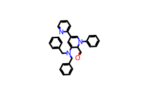 O=CC1C(N(Cc2ccccc2)Cc2ccccc2)=CC(c2ccccn2)=CN1c1ccccc1